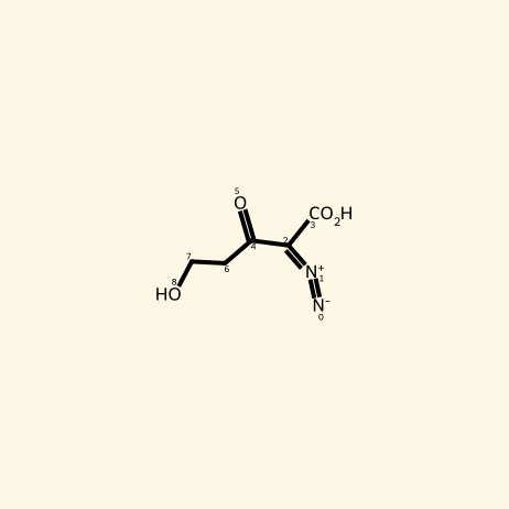 [N-]=[N+]=C(C(=O)O)C(=O)CCO